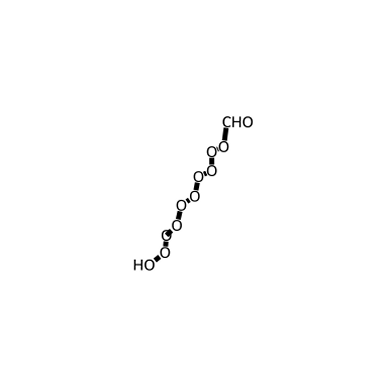 O=COOOOOOOOOO